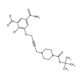 CC(C)(C)OC(=O)N1CCN(CC#CCOc2cc(C(N)=O)cc([N+](=O)[O-])c2Cl)CC1